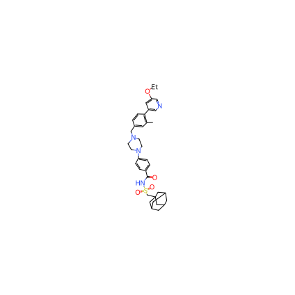 CCOc1cncc(-c2ccc(CN3CCN(c4ccc(C(=O)NS(=O)(=O)CC56CC7CC(CC(C7)C5)C6)cc4)CC3)cc2C)c1